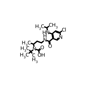 CC(C)Nc1cc(Cl)ncc1C(=O)NCCC(C)N(C(=O)O)C(C)(C)C